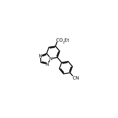 CCOC(=O)c1cc(-c2ccc(C#N)cc2)n2ncnc2c1